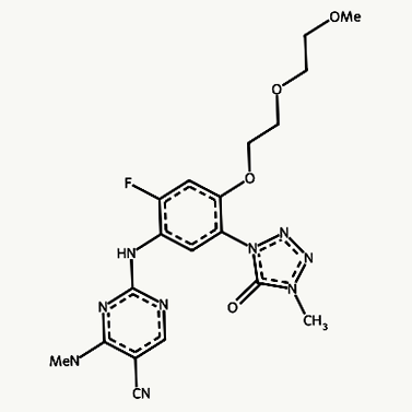 CNc1nc(Nc2cc(-n3nnn(C)c3=O)c(OCCOCCOC)cc2F)ncc1C#N